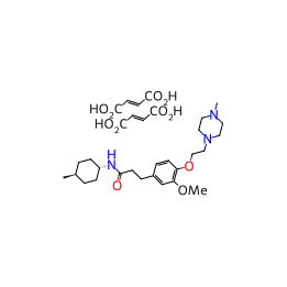 COc1cc(CCC(=O)N[C@H]2CC[C@H](C)CC2)ccc1OCCN1CCN(C)CC1.O=C(O)/C=C/C(=O)O.O=C(O)/C=C/C(=O)O